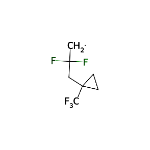 [CH2]C(F)(F)CC1(C(F)(F)F)CC1